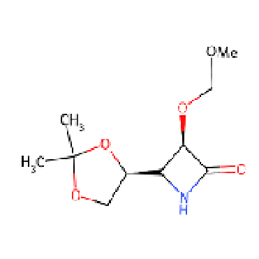 COCO[C@H]1C(=O)NC1[C@H]1COC(C)(C)O1